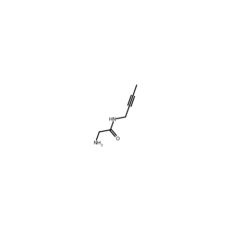 CC#CCNC(=O)CN